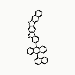 c1ccc2cc3c(cc2c1)sc1cc2sc4cc(-c5c6ccccc6c(-c6cccc7ccccc67)c6ccccc56)ccc4c2cc13